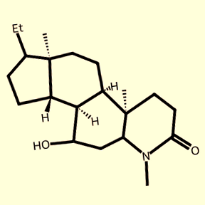 CCC1CC[C@H]2[C@@H]3C(O)CC4N(C)C(=O)CC[C@]4(C)[C@@H]3CC[C@]12C